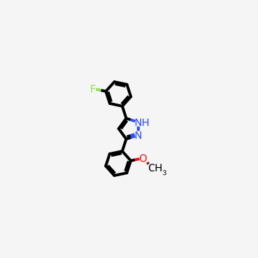 COc1ccccc1-c1cc(-c2cccc(F)c2)[nH]n1